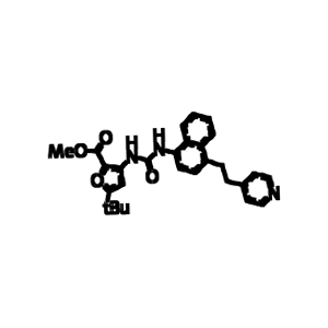 COC(=O)c1oc(C(C)(C)C)cc1NC(=O)Nc1ccc(CCc2ccncc2)c2ccccc12